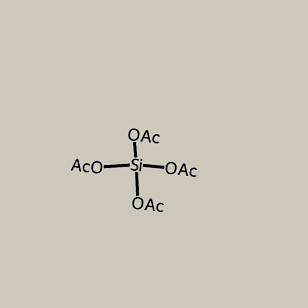 CC(=O)O[Si](OC(C)=O)(OC(C)=O)OC(C)=O